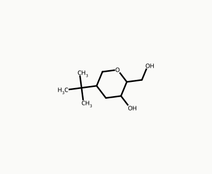 CC(C)(C)C1COC(CO)C(O)C1